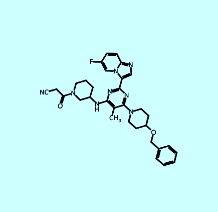 Cc1c(NC2CCCN(C(=O)CC#N)C2)nc(-c2cnc3ccc(F)cn23)nc1N1CCC(OCc2ccccc2)CC1